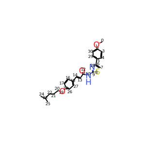 COc1ccc(-c2csc(NC(=O)C=Cc3ccc(OCCCC(C)C)cc3)n2)cc1